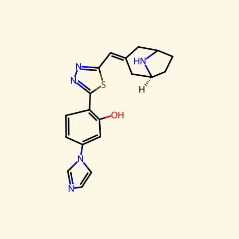 Oc1cc(-n2ccnc2)ccc1-c1nnc(/C=C2/CC3CC[C@@H](C2)N3)s1